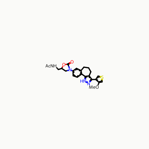 COc1cscc1-c1n[nH]c2c1CCCc1cc(N3CC(CNC(C)=O)OC3=O)ccc1-2